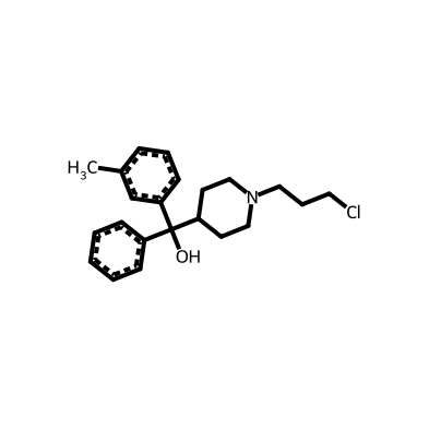 Cc1cccc(C(O)(c2ccccc2)C2CCN(CCCCl)CC2)c1